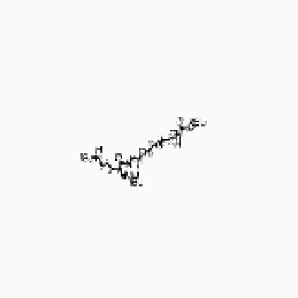 CCC(C)NCCC[C@H](CNC(C)CC)C(=O)NCCOCCOCCONC(=O)OC(C)(C)C